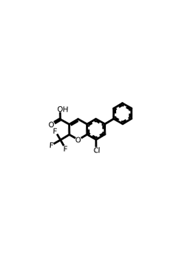 O=C(O)C1=Cc2cc(-c3ccccc3)cc(Cl)c2OC1C(F)(F)F